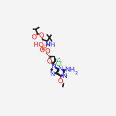 CCOc1nc(N)nc2c1ncn2[C@@H]1O[C@H](COP(=O)(O)NC(COC(=O)C(C)C)C(C)(C)C)C[C@@]1(C)Cl